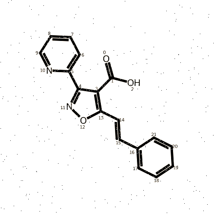 O=C(O)c1c(-c2ccccn2)noc1C=Cc1ccccc1